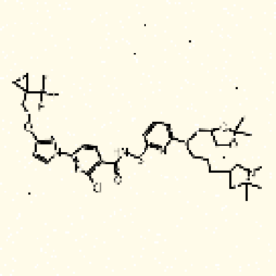 CN1CC(CCCN(CC2COC(C)(C)O2)c2cccc(SNC(=O)c3ccc(-n4ccc(OCCC5(C(F)(F)F)CC5)n4)nc3Cl)n2)CC1(C)C